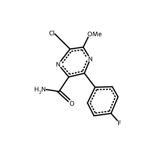 COc1nc(-c2ccc(F)cc2)c(C(N)=O)nc1Cl